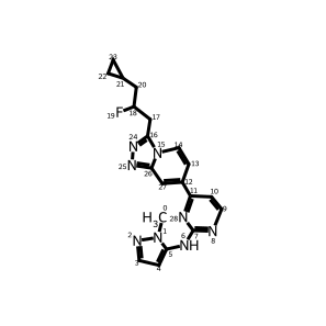 Cn1nccc1Nc1nccc(-c2ccn3c(CC(F)CC4CC4)nnc3c2)n1